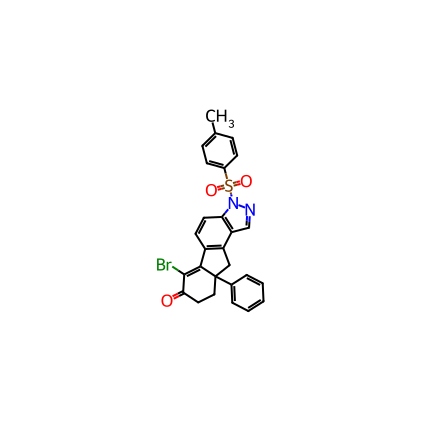 Cc1ccc(S(=O)(=O)n2ncc3c4c(ccc32)C2=C(Br)C(=O)CCC2(c2ccccc2)C4)cc1